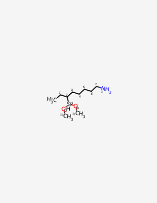 CCC(CCCCCN)[SiH](OC)OC